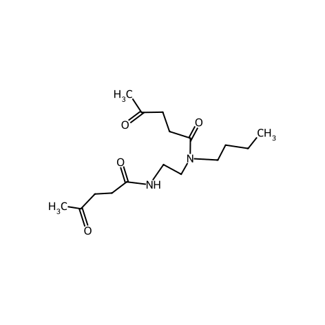 CCCCN(CCNC(=O)CCC(C)=O)C(=O)CCC(C)=O